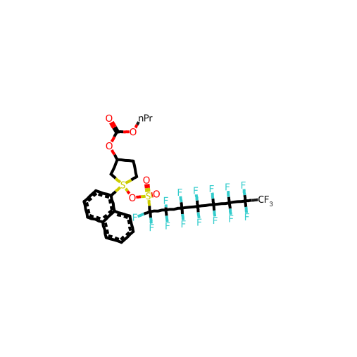 CCCOC(=O)OC1CCS(OS(=O)(=O)C(F)(F)C(F)(F)C(F)(F)C(F)(F)C(F)(F)C(F)(F)C(F)(F)C(F)(F)F)(c2cccc3ccccc23)C1